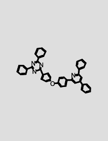 c1ccc(-c2cc(-c3ccccc3)nc(-c3ccc(Oc4ccc(-c5nc(-c6ccccc6)nc(-c6ccccc6)n5)cc4)cc3)c2)cc1